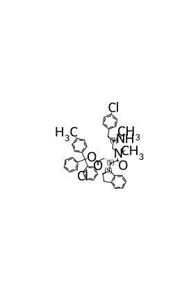 CN[C@H](Cc1ccc(Cl)cc1)CN(C)C(=O)[C@@H](CC(=O)OC(c1ccccc1)(c1ccc(C)cc1)c1ccccc1Cl)[C@@H]1CCc2ccccc21